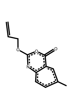 C=CCOc1nc2ccc(C)cc2c(=O)o1